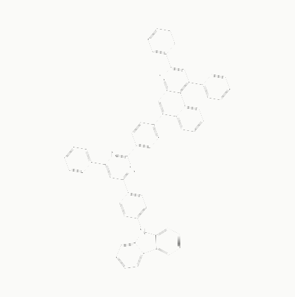 C1=CCCC(c2cc(-c3ccccc3)c3c(cc(-c4ccc(-c5nc(-c6ccccc6)cc(-c6ccc(-n7c8ccccc8c8ccccc87)cc6)n5)cc4)c4ccccc43)n2)=C1